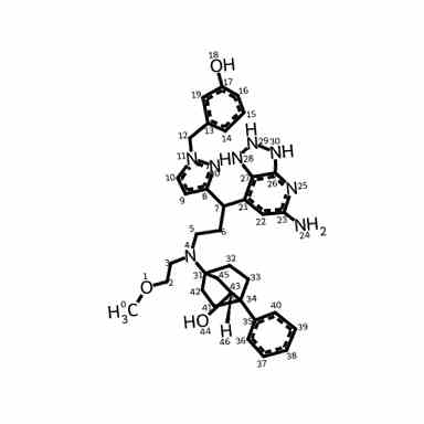 COCCN(CCC(c1ccn(Cc2cccc(O)c2)n1)c1cc(N)nc2c1NNN2)C12CCC(c3ccccc3)(CC1)[C@H](O)C2